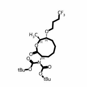 C[C@@H]1OC(=O)[C@@H](N(C(=O)OC(C)(C)C)C(=O)OC(C)(C)C)CCCC[C@H]1OCCCC(F)(F)F